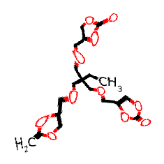 C=C1OCC(COCC(CC)(COCC2COC(=O)O2)COCC2COC(=O)O2)O1